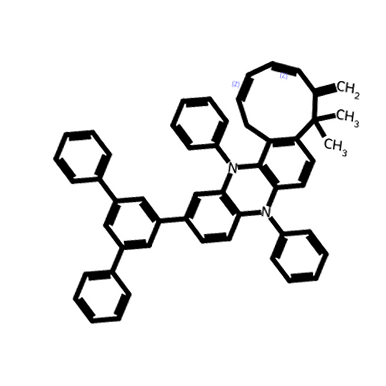 C=C1/C=C\C=C/Cc2c(ccc3c2N(c2ccccc2)c2cc(-c4cc(-c5ccccc5)cc(-c5ccccc5)c4)ccc2N3c2ccccc2)C1(C)C